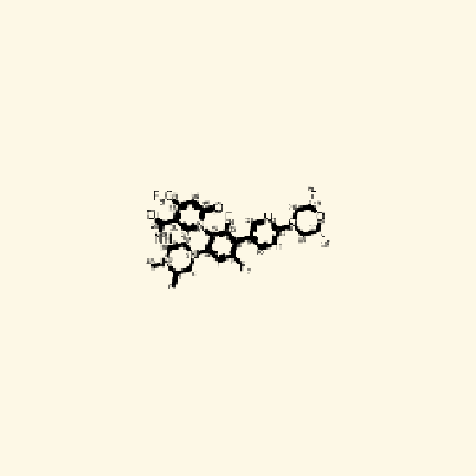 CC1CN(c2cc(F)c(-c3ccc(N4C[C@@H](C)O[C@@H](C)C4)nc3)c(F)c2-n2cc(C(N)=O)c(C(F)(F)F)cc2=O)CCN1C